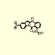 O=c1c2c(NO)cccc2[nH]c2cc3cc([N+](=O)[O-])ccc3n12